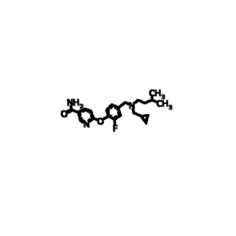 CC(C)CCN(Cc1ccc(Oc2ccc(C(N)=O)cn2)c(F)c1)CC1CC1